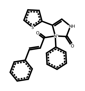 O=C(/C=C/c1ccccc1)[N+]1(c2ccccc2)C(=O)NC=C1c1cccs1